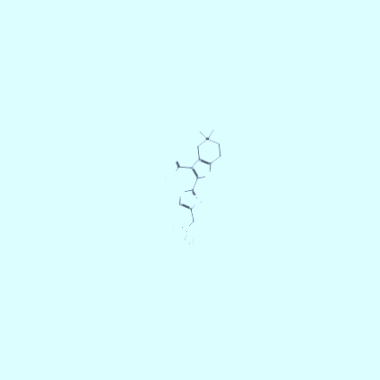 CC1(C)CCc2sc(-c3nc(CNN)cs3)c(C(=O)O)c2C1